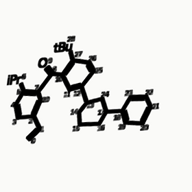 C=Cc1ccc(C(C)C)c(C(=O)c2cc(C3CCCC(c4ccccc4)C3)ccc2C(C)(C)C)c1